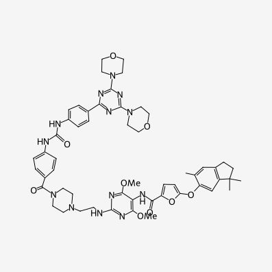 COc1nc(NCCN2CCN(C(=O)c3ccc(NC(=O)Nc4ccc(-c5nc(N6CCOCC6)nc(N6CCOCC6)n5)cc4)cc3)CC2)nc(OC)c1NC(=O)c1ccc(Oc2cc3c(cc2C)CCC3(C)C)o1